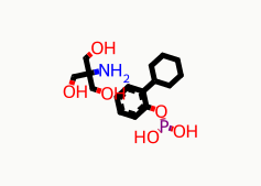 NC(CO)(CO)CO.OP(O)Oc1ccccc1C1CCCCC1